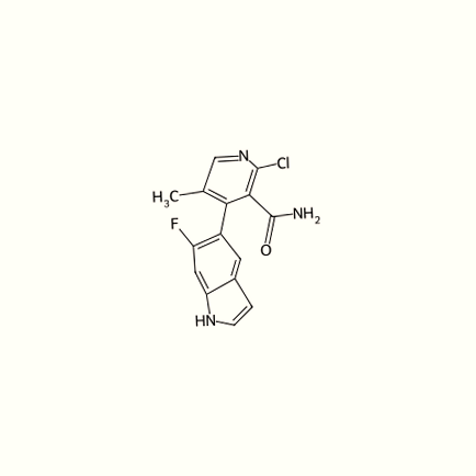 Cc1cnc(Cl)c(C(N)=O)c1-c1cc2cc[nH]c2cc1F